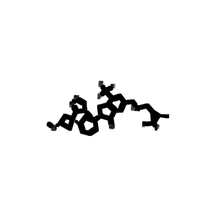 CO[C@H]1C[C@](c2cccc(N3Cc4c(cc(CNCC5[C@@H](C)C5(F)F)cc4C(F)(F)F)C3=O)c2)(c2nncn2C)C1